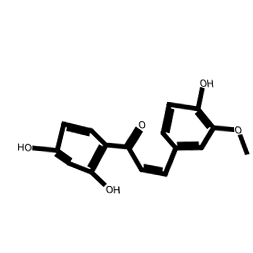 COc1cc(/C=C\C(=O)c2ccc(O)cc2O)ccc1O